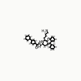 NCCCC[C@@H]1N[C@H](CNC(=O)c2ccc(-c3ccccc3)cc2)CCN(C(c2ccccc2)c2ccccc2)C1=O